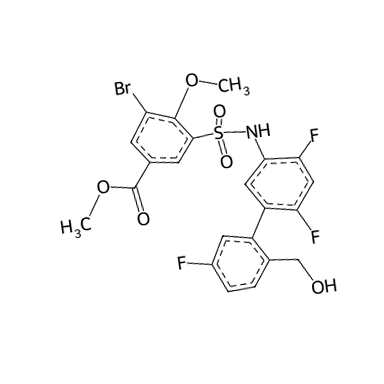 COC(=O)c1cc(Br)c(OC)c(S(=O)(=O)Nc2cc(-c3cc(F)ccc3CO)c(F)cc2F)c1